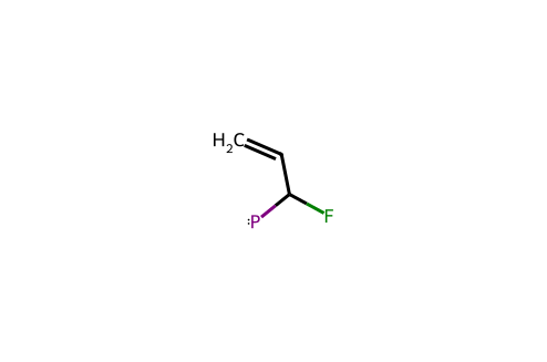 C=CC(F)[P]